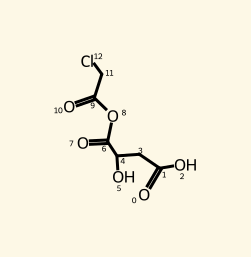 O=C(O)CC(O)C(=O)OC(=O)CCl